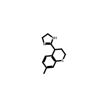 Cc1ccc2c(c1)SCCC2C1=NCCN1